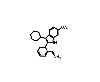 C=Cc1ccccc1-c1[nH]c2cc(OC(C)=O)ccc2c1C1CCCCC1